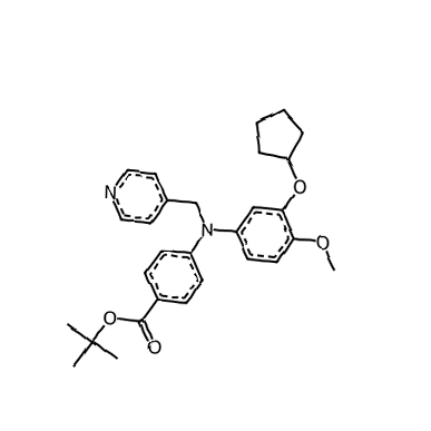 COc1ccc(N(Cc2ccncc2)c2ccc(C(=O)OC(C)(C)C)cc2)cc1OC1CCCC1